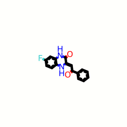 O=C1Nc2cc(F)ccc2NC1=CC(=O)c1ccccc1